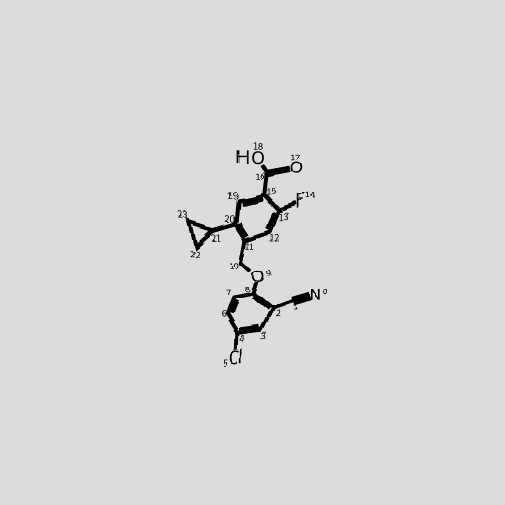 N#Cc1cc(Cl)ccc1OCc1cc(F)c(C(=O)O)cc1C1CC1